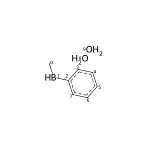 CBc1ccccc1.O.O